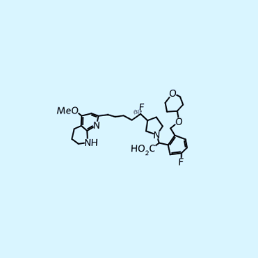 COc1cc(CCCC[C@H](F)C2CCN(C(C(=O)O)c3cc(F)ccc3COC3CCOCC3)C2)nc2c1CCCN2